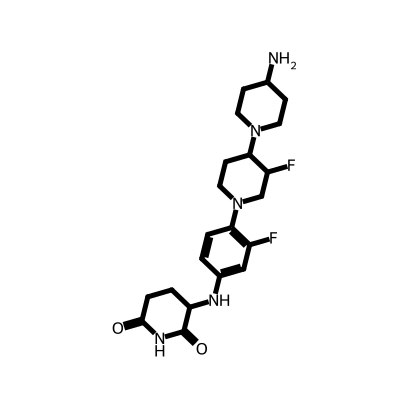 NC1CCN(C2CCN(c3ccc(NC4CCC(=O)NC4=O)cc3F)CC2F)CC1